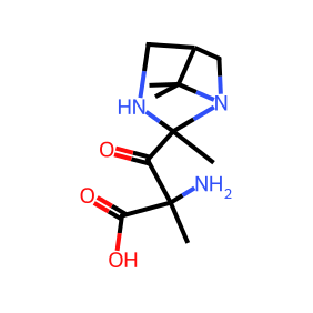 CC(N)(C(=O)O)C(=O)C1(C)NCC2CN1C2(C)C